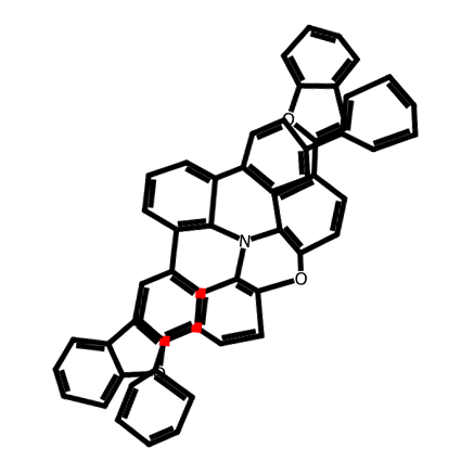 c1ccc(-c2ccc(-c3cccc(-c4ccc(-c5ccccc5)cc4)c3N3c4cc(-c5cc6ccccc6o5)ccc4Oc4ccc(-c5cc6ccccc6o5)cc43)cc2)cc1